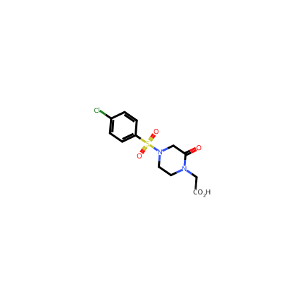 O=C(O)CN1CCN(S(=O)(=O)c2ccc(Cl)cc2)CC1=O